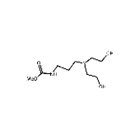 COC(=O)NCCCN(CCO)CCO